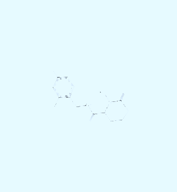 CCN1C(=O)CCCC1C(=O)NCc1ccc(F)cc1Cl